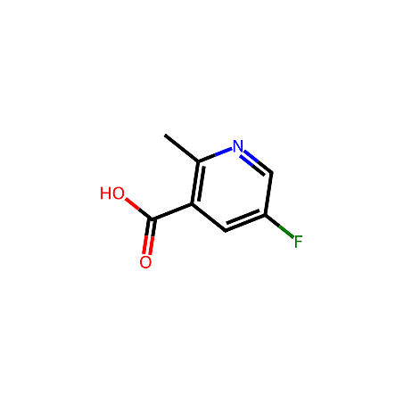 Cc1ncc(F)cc1C(=O)O